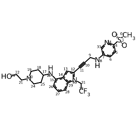 CS(=O)(=O)c1ccc(NCC#Cc2cc3c(NC4CCN(CCO)CC4)cccc3n2CC(F)(F)F)cn1